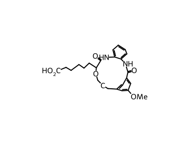 COc1cc2cc(c1)C(=O)Nc1ccccc1NC(=O)C(CCCCCC(=O)O)OCCC2